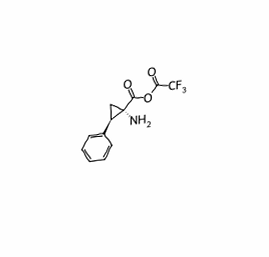 N[C@@]1(C(=O)OC(=O)C(F)(F)F)C[C@@H]1c1ccccc1